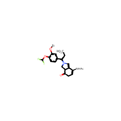 CCOc1cc(C(CC(=O)O)N2C=C3C(NC(C)=O)=CCC(=O)C3C2)ccc1OC(F)F